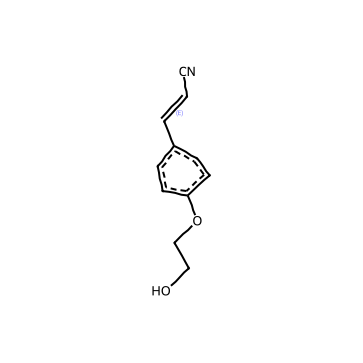 N#C/C=C/c1ccc(OCCO)cc1